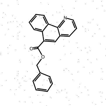 O=C(OCc1ccccc1)c1cc2cccnc2c2ccccc12